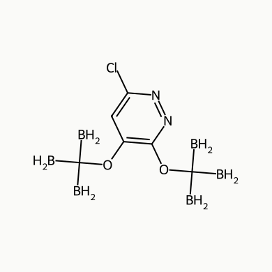 BC(B)(B)Oc1cc(Cl)nnc1OC(B)(B)B